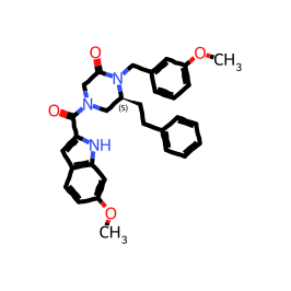 COc1cccc(CN2C(=O)CN(C(=O)c3cc4ccc(OC)cc4[nH]3)C[C@@H]2CCc2ccccc2)c1